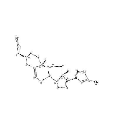 C[C@]12CC[C@H](N=[N+]=[N-])CC1=CCC1C2CC[C@]2(C)C(n3cnc(C#N)c3)=CCC12